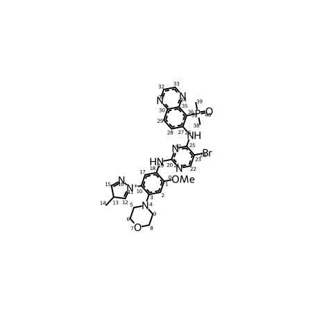 COc1cc(N2CCOCC2)c([N+]2=CC(C)C=N2)cc1Nc1ncc(Br)c(Nc2ccc3nccnc3c2P(C)(C)=O)n1